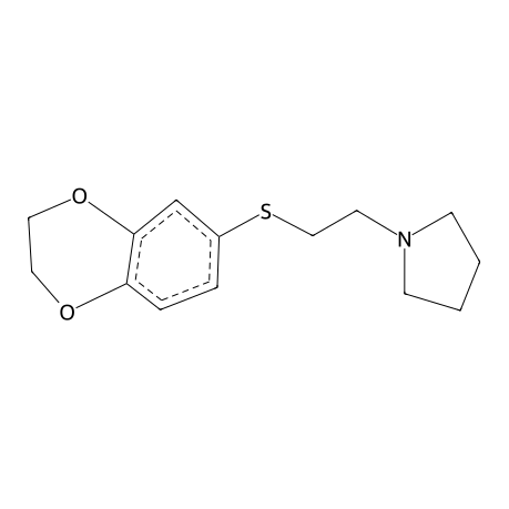 c1cc2c(cc1SCCN1CCCC1)OCCO2